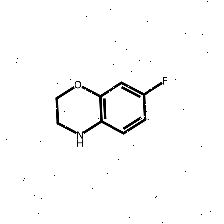 Fc1[c]cc2c(c1)OCCN2